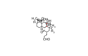 C=C1C(=O)[C@]23[C@H](O)[C@H]1CC[C@H]2[C@@]12CO[C@@]3(O)[C@@H](O)[C@@H]1C(C)(C)C[C@@H](CCC=O)C2=O